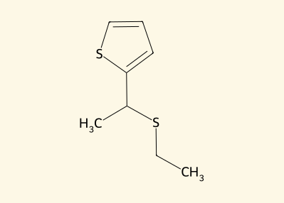 CCSC(C)c1cccs1